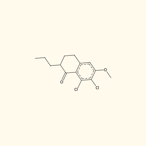 CCCC1CCc2cc(OC)c(Cl)c(Cl)c2C1=O